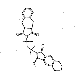 CC(C)(CC(C)(C)N1C(=O)C2Cc3ccccc3CC2C1=O)N1C(=O)c2cc3c(cc2C1=O)CCCC3